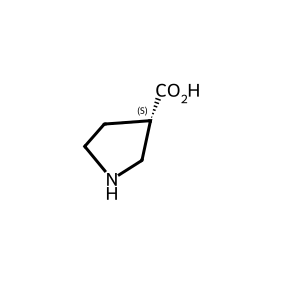 O=C(O)[C@H]1CCNC1